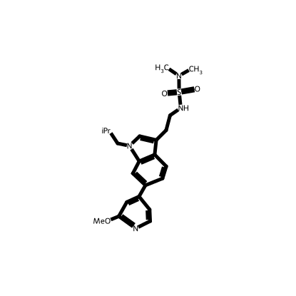 COc1cc(-c2ccc3c(CCNS(=O)(=O)N(C)C)cn(CC(C)C)c3c2)ccn1